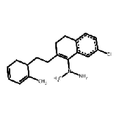 CC1=CC=CCC1CCC1=C(N(C)N)c2cc(Cl)ccc2CC1